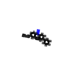 COc1ccc(Nc2ccc(-c3ccccc3)cc2)c(C)c1